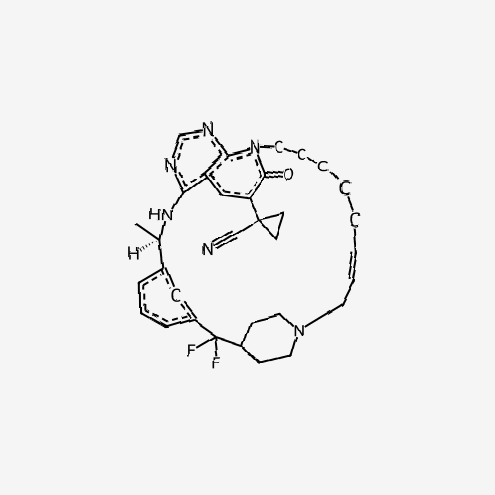 C[C@H]1Nc2ncnc3c2cc(C2(C#N)CC2)c(=O)n3CCCCC/C=C\CN2CCC(CC2)C(F)(F)c2cccc1c2